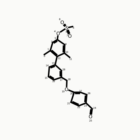 Cc1cc(OS(C)(=O)=O)cc(C)c1-c1cccc(COc2ccc(C=O)cc2)c1